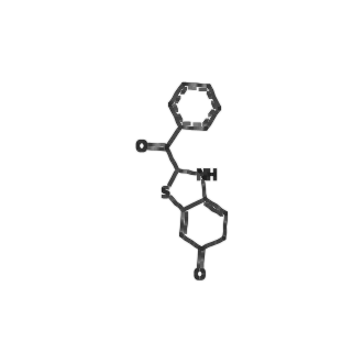 O=C1C=C2SC(C(=O)c3ccccc3)NC2=CC1